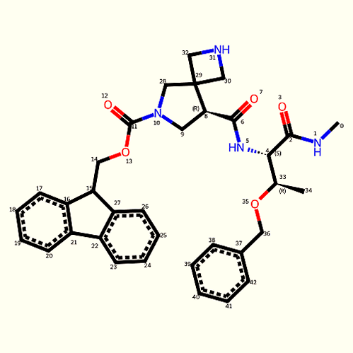 CNC(=O)[C@@H](NC(=O)[C@H]1CN(C(=O)OCC2c3ccccc3-c3ccccc32)CC12CNC2)[C@@H](C)OCc1ccccc1